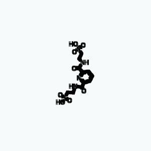 O=C(NCCS(=O)(=O)O)c1cccc(C(=O)NCCS(=O)(=O)O)n1